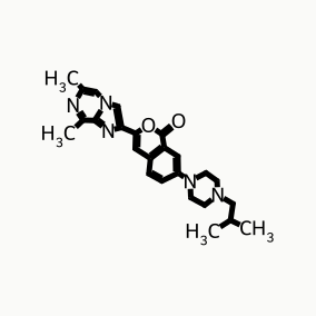 Cc1cn2cc(-c3cc4ccc(N5CCN(CC(C)C)CC5)cc4c(=O)o3)nc2c(C)n1